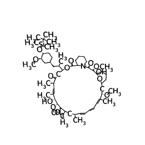 CO[C@H]1CC2CC[C@@H](C)[C@@](O)(O2)C(=O)C(=O)N2CCCCC2C(=O)O[C@H]([C@H](C)C[C@@H]2CC[C@@H](O[Si](C)(C)C(C)(C)C)[C@H](OC)C2)CC(=O)[C@H](C)/C=C(\C)[C@@H](O)[C@@H](OC)C(=O)[C@H](C)C[C@H](C)/C=C/C=C/C=C/1C